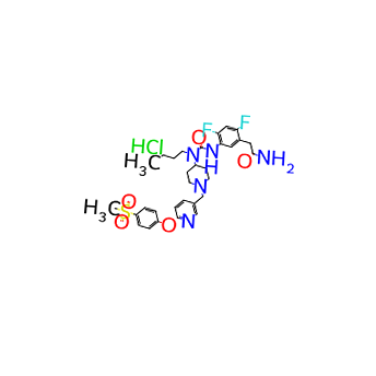 CCCCN(C(=O)Nc1cc(CC(N)=O)c(F)cc1F)C1CCN(Cc2ccc(Oc3ccc(S(C)(=O)=O)cc3)nc2)CC1.Cl